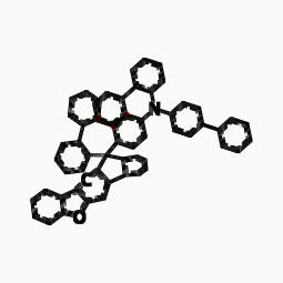 c1ccc(-c2ccc(N(c3ccc4c(c3)-c3ccccc3-c3ccccc3C43c4ccccc4-c4cc5oc6ccccc6c5cc43)c3ccccc3-c3ccccc3)cc2)cc1